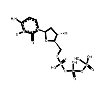 Nc1ccn([C@H]2C[C@H](O)[C@@H](COP(=O)(O)OP(=O)(O)OP(=O)(O)O)O2)c(=O)[n+]1[S-]